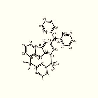 CC1(C)c2cccc3c2-n2c4c1cccc4c1cc(N(c4ccccn4)c4ccccn4)cc(c12)C3(C)C